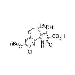 CCCCOc1cc2c(nc1Cl)-c1[nH]c(=O)c(C(=O)O)c(O)c1C(C(C)(C)C)CO2